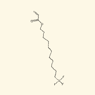 C=CC(=O)OCCCCCCCCCCC[Si](F)(F)F